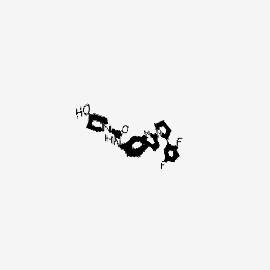 O=C(Nc1ccc2ccc(N3CCC[C@@H]3c3cc(F)ccc3F)nc2c1)N1CC[C@H](O)C1